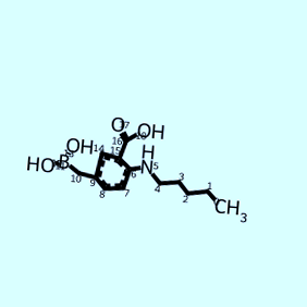 CCCCCNc1ccc(CB(O)O)cc1C(=O)O